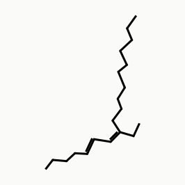 CCCCC=CC=C(CC)CCCCCCCCCC